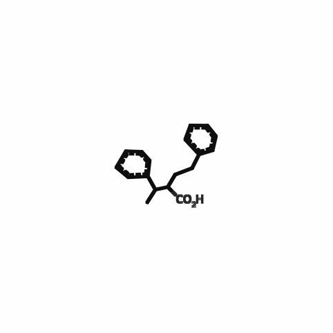 CC(c1ccccc1)C(CCc1ccccc1)C(=O)O